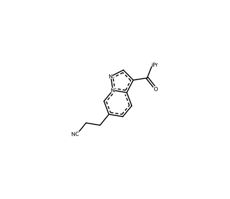 CC(C)C(=O)c1cnn2cc(CCC#N)ccc12